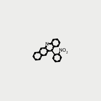 O=[N+]([O-])c1ccccc1-c1c2ccccc2nc2cc3ccccc3cc12